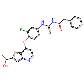 CC(O)c1cc2nccc(Oc3ccc(NC(=S)NC(=O)Cc4ccccc4)cc3F)c2s1